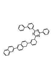 C1=CC(C2C=Cc3cc(-c4ccc5ccccc5c4)ccc3C2)=CC(c2nc(-c3ccccc3)nc(-c3cccc(-c4ccccc4)c3)n2)C1